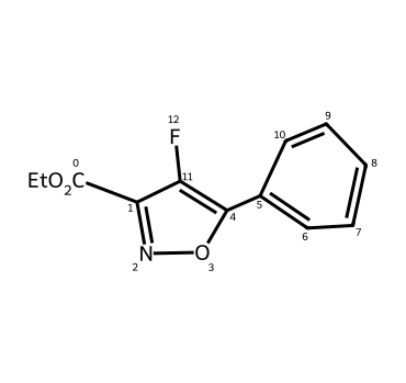 CCOC(=O)c1noc(-c2ccccc2)c1F